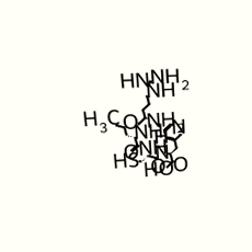 CCCC[C@H](NC(=O)[C@@H](N)CCCNC(=N)N)C(=O)N[C@@H](CS)C(=O)N[C@@H](Cc1cccnc1)C(=O)O